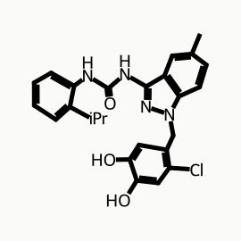 Cc1ccc2c(c1)c(NC(=O)Nc1ccccc1C(C)C)nn2Cc1cc(O)c(O)cc1Cl